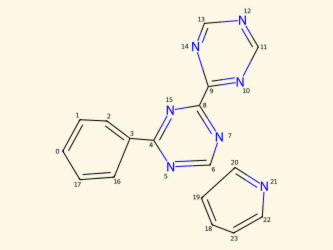 c1ccc(-c2ncnc(-c3ncncn3)n2)cc1.c1ccncc1